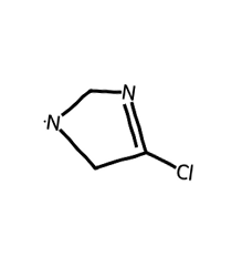 ClC1=NC[N]C1